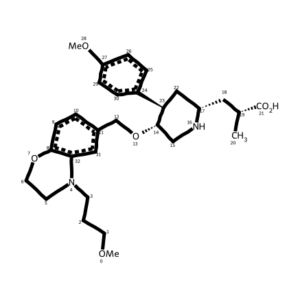 COCCCN1CCOc2ccc(CO[C@H]3CN[C@@H](C[C@@H](C)C(=O)O)C[C@@H]3c3ccc(OC)cc3)cc21